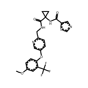 COc1ccc(Oc2ccc(CNC(=O)C3(NC(=O)c4cncs4)CC3)nc2)c(C(F)(F)F)c1